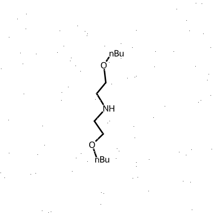 CCCCOCCNCCOCCCC